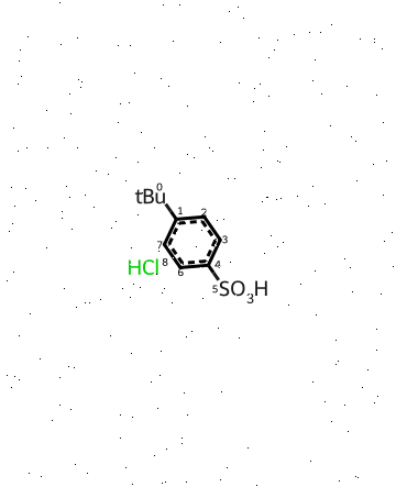 CC(C)(C)c1ccc(S(=O)(=O)O)cc1.Cl